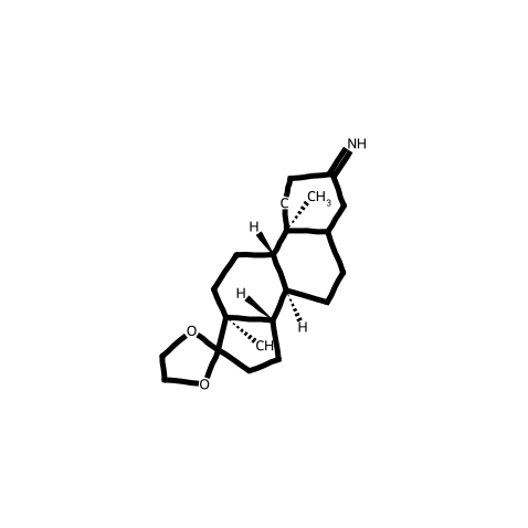 C[C@]12CCC(=N)CC1CC[C@@H]1[C@@H]2CC[C@@]2(C)[C@H]1CCC21OCCO1